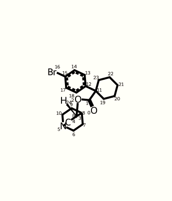 O=C(O[C@H]1CN2CCC1CC2)C1(c2ccc(Br)cc2)CCCCC1